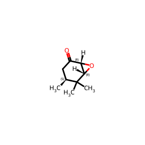 C[C@H]1CC(=O)[C@@H]2O[C@@H]2C1(C)C